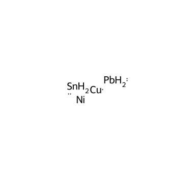 [Cu].[Ni].[PbH2].[SnH2]